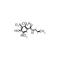 C=CCNC(=O)c1cc([N+](=O)[O-])c(O)c([N+](=O)[O-])c1C(=O)O